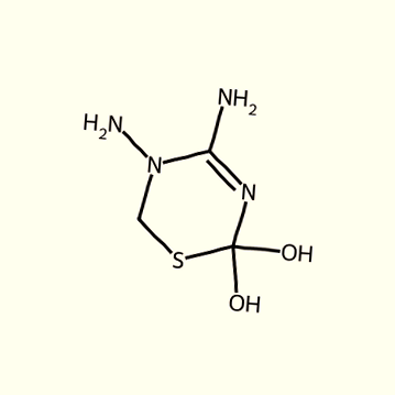 NC1=NC(O)(O)SCN1N